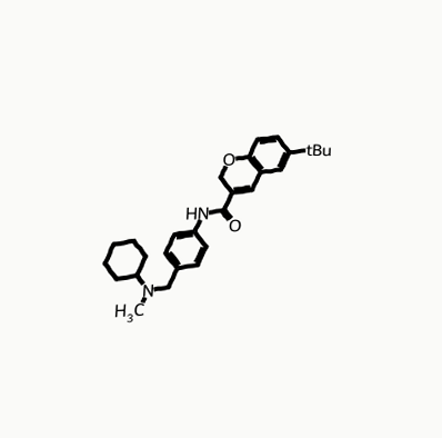 CN(Cc1ccc(NC(=O)C2=Cc3cc(C(C)(C)C)ccc3OC2)cc1)C1CCCCC1